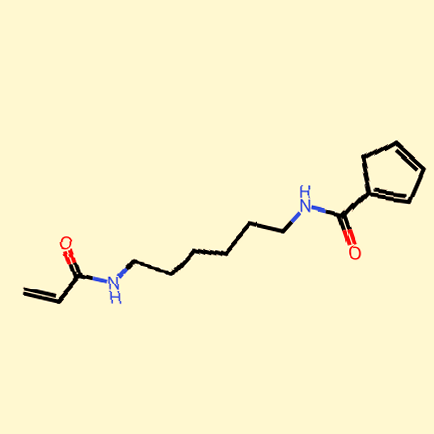 C=CC(=O)NCCCCCCNC(=O)C1=CC=CC1